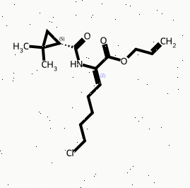 C=CCOC(=O)/C(=C/CCCCCl)NC(=O)[C@H]1CC1(C)C